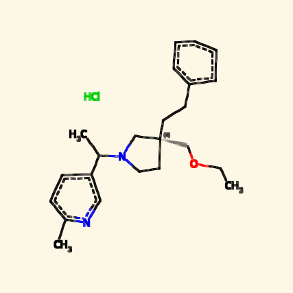 CCOC[C@]1(CCc2ccccc2)CCN(C(C)c2ccc(C)nc2)C1.Cl